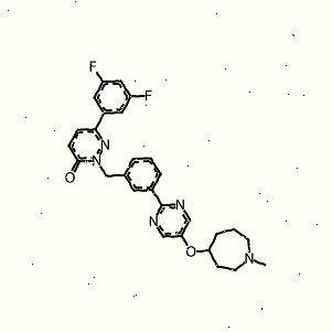 CN1CCCC(Oc2cnc(-c3cccc(Cn4nc(-c5cc(F)cc(F)c5)ccc4=O)c3)nc2)CC1